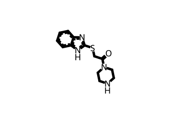 O=C(CSc1nc2ccccc2[nH]1)N1CCNCC1